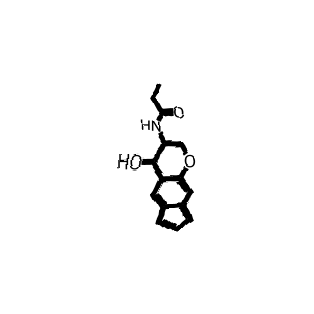 CCC(=O)NC1COC2=CC3=CC=CC3=CC2C1O